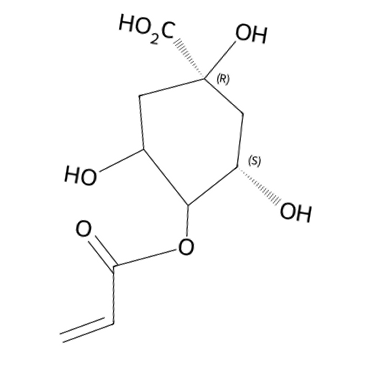 C=CC(=O)OC1C(O)C[C@](O)(C(=O)O)C[C@@H]1O